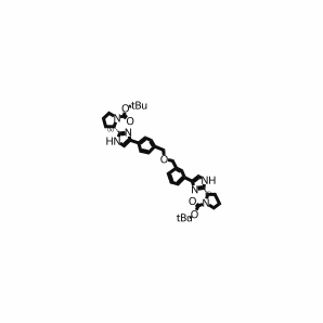 CC(C)(C)OC(=O)N1CCC[C@H]1c1nc(-c2ccc(COCc3cccc(-c4c[nH]c([C@@H]5CCCN5C(=O)OC(C)(C)C)n4)c3)cc2)c[nH]1